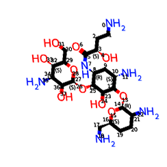 NCC[C@H](O)C(=O)N[C@@H]1C[C@H](N)C(O[C@H]2O[C@H](CN)CCC2N)C(O)[C@H]1O[C@H]1OC(CO)[C@@H](O)[C@H](N)C1O